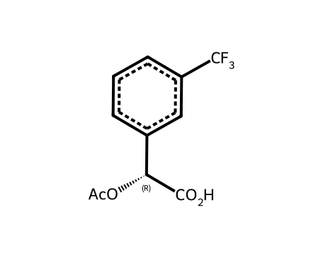 CC(=O)O[C@@H](C(=O)O)c1cccc(C(F)(F)F)c1